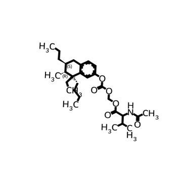 CCCC[C@@]1(CC)c2cc(OC(=O)OCOC(=O)C(NC(C)=O)C(C)C)ccc2C[C@H](CCC)[C@H]1C